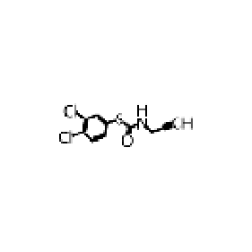 C#CCNC(=O)Sc1ccc(Cl)c(Cl)c1